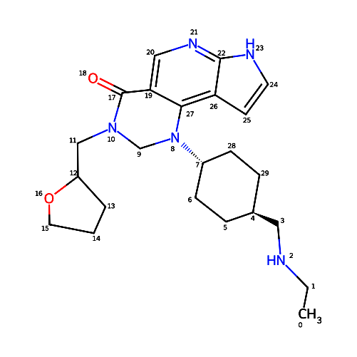 CCNC[C@H]1CC[C@H](N2CN(CC3CCCO3)C(=O)c3cnc4[nH]ccc4c32)CC1